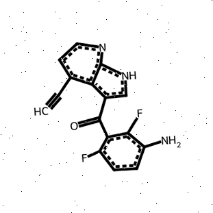 C#Cc1ccnc2[nH]cc(C(=O)c3c(F)ccc(N)c3F)c12